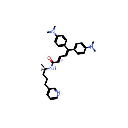 C[C@H](CCCc1cccnc1)NC(=O)/C=C/C=C(c1ccc(N(C)C)cc1)c1ccc(N(C)C)cc1